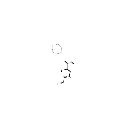 N=C/C(=C\NC1CCNCC1)c1cnc(C=N)c(N)c1